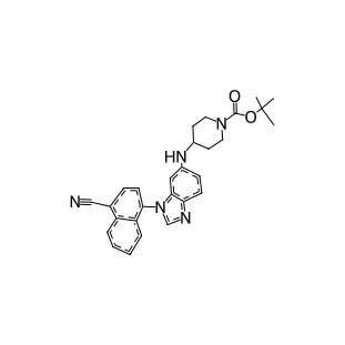 CC(C)(C)OC(=O)N1CCC(Nc2ccc3ncn(-c4ccc(C#N)c5ccccc45)c3c2)CC1